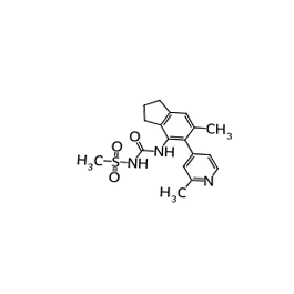 Cc1cc(-c2c(C)cc3c(c2NC(=O)NS(C)(=O)=O)CCC3)ccn1